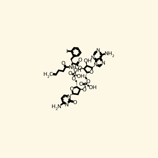 C=CCCC(=O)N[C@@H](Cc1ccccc1I)C(=O)O[C@H]1[C@@H](O)[C@H](n2cnc3c(N)ncnc32)O[C@@H]1COP(=O)(O)O[C@H]1C[C@H](n2ccc(N)nc2=O)O[C@@H]1COP(=O)(O)O